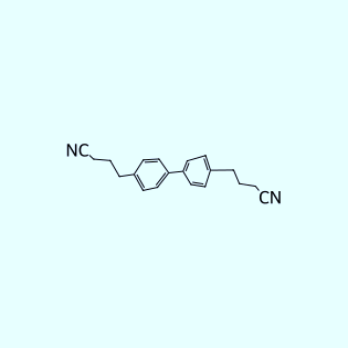 N#CCCCc1ccc(-c2ccc(CCCC#N)cc2)cc1